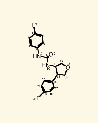 O=C(Nc1ccc(F)cc1)NC1COCC1c1ccc(F)cc1